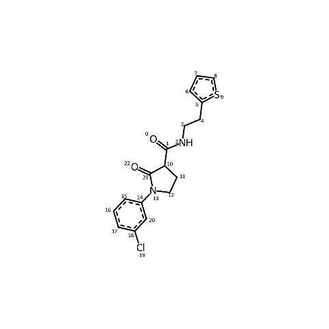 O=C(NCCc1cccs1)C1CCN(c2cccc(Cl)c2)C1=O